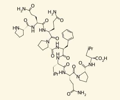 CC(C)C[C@H](NC(=O)[C@@H]1CCCN1C(=O)[C@H](CCC(N)=O)NC(=O)[C@H](CC(C)C)NC(=O)[C@H](Cc1ccccc1)NC(=O)[C@@H]1CCCN1C(=O)[C@H](CCC(N)=O)NC(=O)[C@H](CCC(N)=O)NC(=O)[C@@H]1CCCN1)C(=O)O